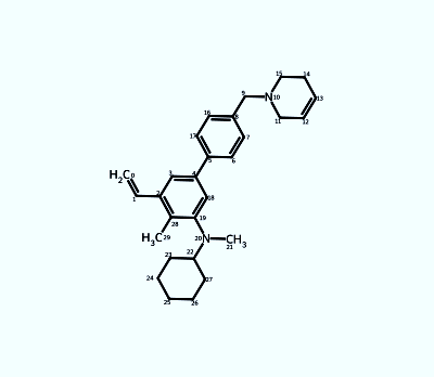 C=Cc1cc(-c2ccc(CN3CC=CCC3)cc2)cc(N(C)C2CCCCC2)c1C